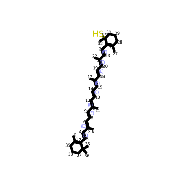 CC1=C(/C=C/C(C)=C/C=C/C(C)=C/C=C/C=C(C)/C=C/C=C(C)/C=C/C2=C(C)CCCC2(C)S)C(C)(C)CCC1